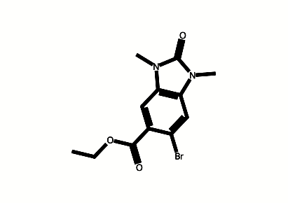 CCOC(=O)c1cc2c(cc1Br)n(C)c(=O)n2C